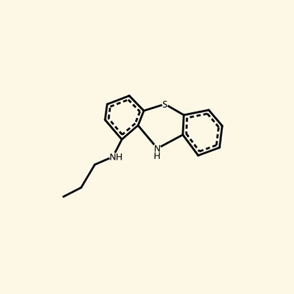 CCCNc1cccc2c1Nc1ccccc1S2